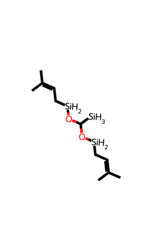 CC(C)=CC[SiH2]OC([SiH3])O[SiH2]CC=C(C)C